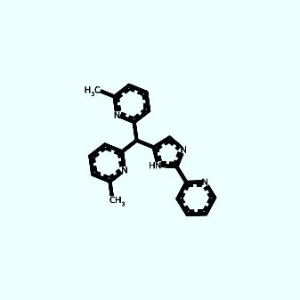 Cc1cccc(C(c2cccc(C)n2)c2cnc(-c3ccccn3)[nH]2)n1